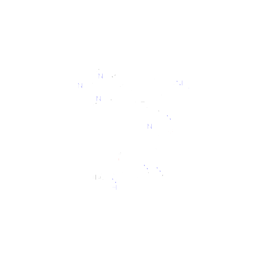 C=C(/C=C\C(=C/N)Cc1noc(-c2cnn(CC(=O)NC(C)(C)C)c2)n1)c1cnc(N)nc1